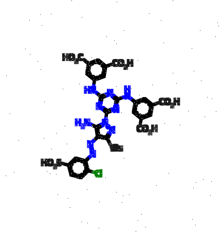 CC(C)(C)c1nn(-c2nc(Nc3cc(C(=O)O)cc(C(=O)O)c3)nc(Nc3cc(C(=O)O)cc(C(=O)O)c3)n2)c(N)c1/N=N/c1cc(S(=O)(=O)O)ccc1Cl